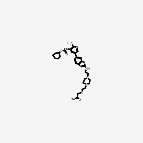 Cc1ncc(-c2ccc3nc(NCCN4CCN(CCOCC(=O)O)CC4)sc3c2)cc1NC(=O)OC1CCCCC1